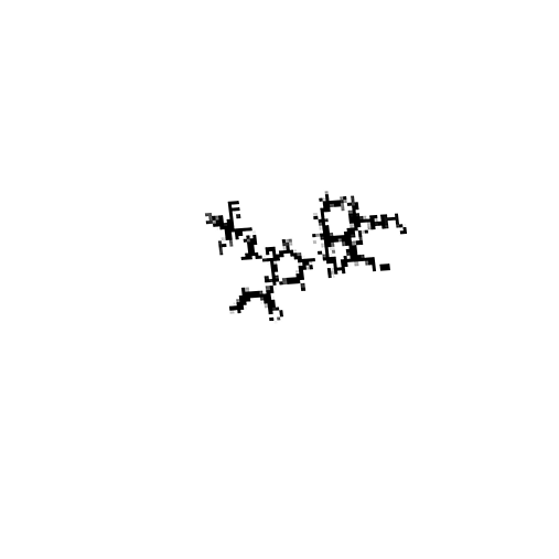 C=CC(=O)N1C[C@@H](n2nc(I)c3c(N)ncnc32)C[C@@H]1COC(F)(F)F